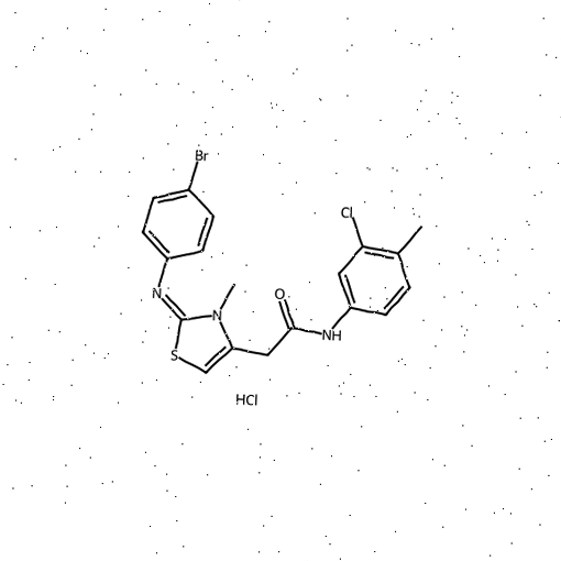 Cc1ccc(NC(=O)Cc2cs/c(=N/c3ccc(Br)cc3)n2C)cc1Cl.Cl